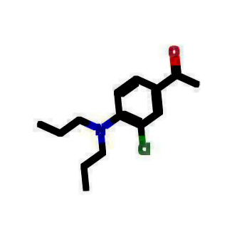 CCCN(CCC)c1ccc(C(C)=O)cc1Cl